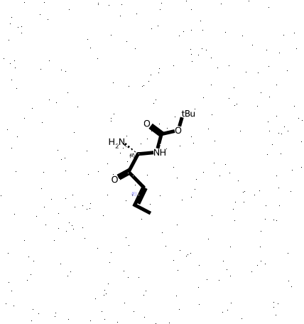 C/C=C/C(=O)[C@H](N)NC(=O)OC(C)(C)C